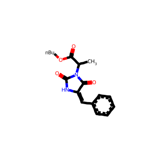 CCCCOC(=O)C(C)N1C(=O)NC(=Cc2ccccc2)C1=O